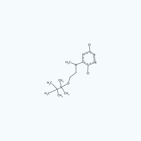 CN(CCO[Si](C)(C)C(C)(C)C)c1cc(Cl)nnc1Cl